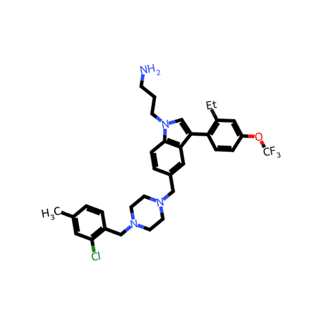 CCc1cc(OC(F)(F)F)ccc1-c1cn(CCCN)c2ccc(CN3CCN(Cc4ccc(C)cc4Cl)CC3)cc12